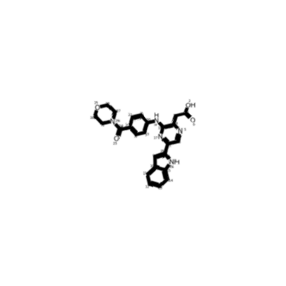 O=C(O)Cc1ncc(-c2cc3ccccc3[nH]2)nc1Nc1ccc(C(=O)N2CCOCC2)cc1